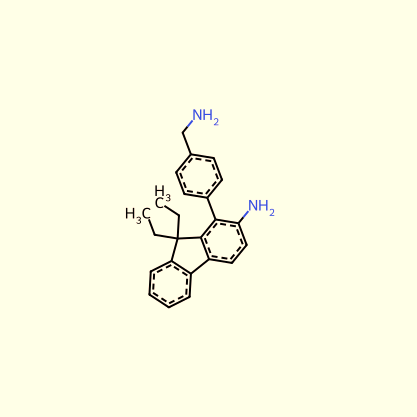 CCC1(CC)c2ccccc2-c2ccc(N)c(-c3ccc(CN)cc3)c21